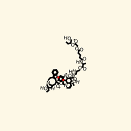 CCC(CO)OC(COC(=O)CCCC(=O)NC(C)C(=O)OCCCNC(=O)[C@]1(O)C2N(C)c3cc(OC)c([C@@]4(C(=O)OC)C[C@@H]5C[N@](CCc6c4[nH]c4ccccc64)CC(O)(CC)C5)cc3[C@@]23CCN2CC=C[C@](CC)(C23)[C@H]1O)OC